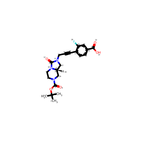 CC(C)(C)OC(=O)N1CCN2C(=O)N(CC#Cc3ccc(C(=O)O)cc3F)C[C@@H]2C1